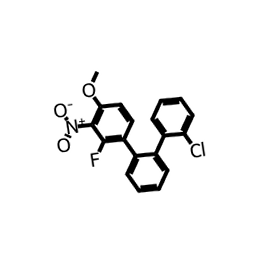 COc1ccc(-c2ccccc2-c2ccccc2Cl)c(F)c1[N+](=O)[O-]